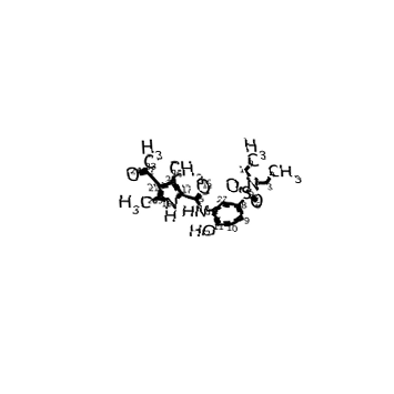 CCN(CC)S(=O)(=O)c1ccc(O)c(NC(=O)c2[nH]c(C)c(C(C)=O)c2C)c1